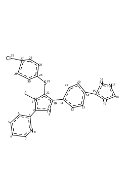 Cn1c(-c2ccccn2)nc(-c2ccc(-c3nnco3)cc2)c1Sc1ccc(Cl)cc1